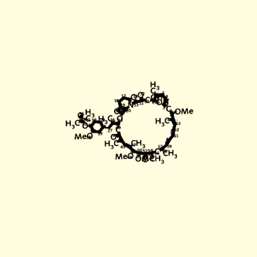 CO[C@H]1C[C@@H]2CC[C@@H](C)[C@](O)(CC(=O)C(=O)N3CCCC[C@H]3C(=O)O[C@H]([C@H](C)C[C@@H]3CC[C@@H](OP(C)(C)=O)[C@H](OC)C3)CC(=O)[C@H](C)/C=C(\C)[C@@H](OC)[C@@H](OC)C(=O)[C@H](C)C[C@H](C)/C=C/C=C/C=C/1C)O2